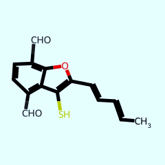 C/C=C/C=C/c1oc2c(C=O)ccc(C=O)c2c1S